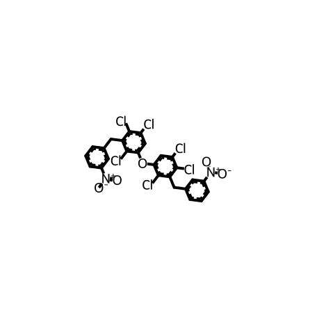 O=[N+]([O-])c1cccc(Cc2c(Cl)c(Cl)cc(Oc3cc(Cl)c(Cl)c(Cc4cccc([N+](=O)[O-])c4)c3Cl)c2Cl)c1